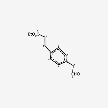 CCOC(=O)CCc1ccc(CC=O)cc1